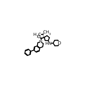 CC(C)[C@]1(C(=O)N2CCc3ccc(-c4ccccc4)cc3C2)CCC(NC2CCOCC2)C1